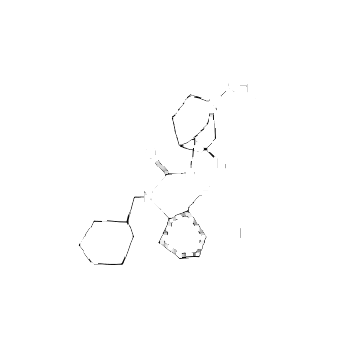 C[N+]12CCC(CC1)[C@@H](OC(=O)N(CC1CCCCC1)c1ccccc1F)C2.[I-]